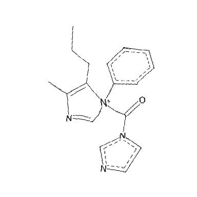 CCCC1=C(C)N=C[N+]1(C(=O)n1ccnc1)c1ccccc1